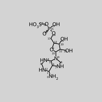 NC1NCNC2C1NCN2C1OC(COP(=O)(O)OS(=O)(=O)O)C(O)C1O